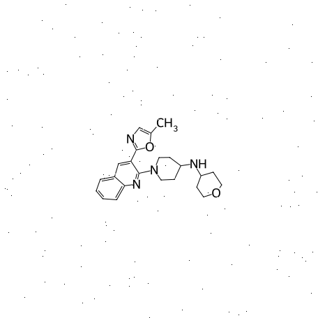 Cc1cnc(-c2cc3ccccc3nc2N2CCC(NC3CCOCC3)CC2)o1